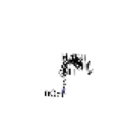 CCCCCCCC/C=C/CCCCCCCC(=O)NC1CCCN(C(=O)CCNC(=O)C2OC(C)(C)OCC2(C)C)C1